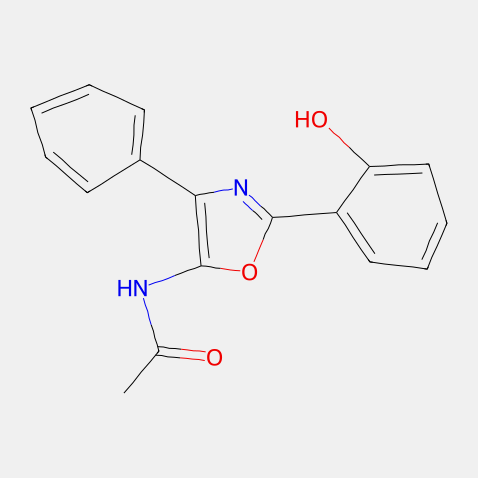 CC(=O)Nc1oc(-c2ccccc2O)nc1-c1ccccc1